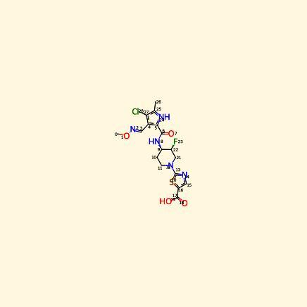 CON=Cc1c(C(=O)N[C@@H]2CCN(c3ncc(C(=O)O)s3)C[C@@H]2F)[nH]c(C)c1Cl